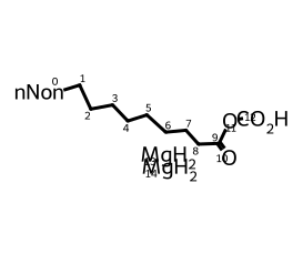 CCCCCCCCCCCCCCCCCC(=O)OC(=O)O.[MgH2].[MgH2]